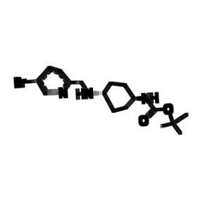 CC(C)(C)OC(=O)N[C@H]1CC[C@H](NCc2ccc(Br)cn2)CC1